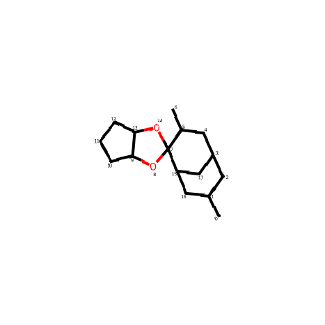 CC1CC2CC(C)C3(OC4CCCC4O3)C(C1)C2